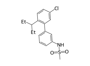 CCC(CC)c1ccc(Cl)cc1-c1cccc(NS(C)(=O)=O)c1